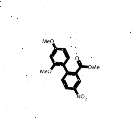 COC(=O)c1cc([N+](=O)[O-])ccc1-c1ccc(OC)cc1OC